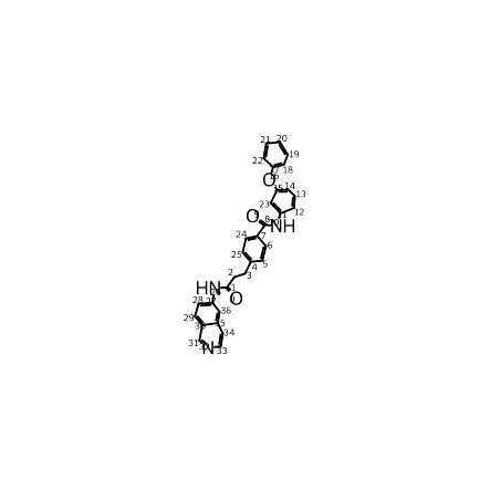 O=C(CCc1ccc(C(=O)Nc2cccc(Oc3ccccc3)c2)cc1)Nc1ccc2cnccc2c1